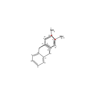 Nc1ccc2c(c1)C1c3ccccc3C2c2cc(N)ccc21